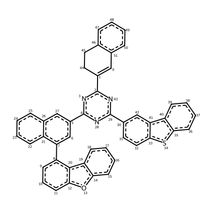 C1=C(c2nc(-c3cc(-c4cccc5oc6ccccc6c45)c4ccccc4c3)nc(-c3ccc4sc5ccccc5c4c3)n2)CCc2ccccc21